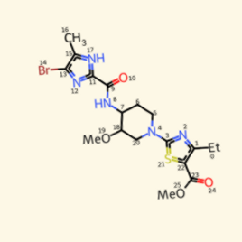 CCc1nc(N2CCC(NC(=O)c3nc(Br)c(C)[nH]3)C(OC)C2)sc1C(=O)OC